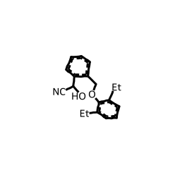 CCc1cccc(CC)c1OCc1ccccc1C(O)C#N